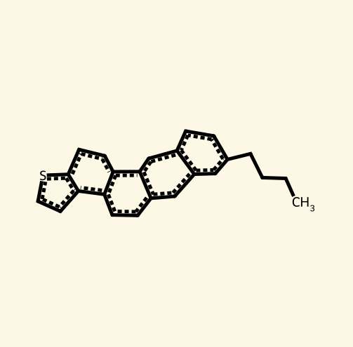 CCCCc1ccc2cc3c(ccc4c5ccsc5ccc34)cc2c1